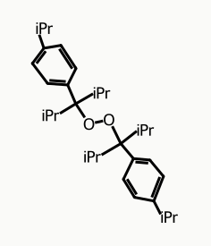 CC(C)c1ccc(C(OOC(c2ccc(C(C)C)cc2)(C(C)C)C(C)C)(C(C)C)C(C)C)cc1